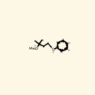 COC(C)(C)CCOc1ccccc1